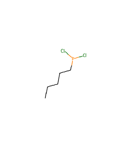 CCCCCP(Cl)Cl